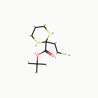 CC(C)(C)OC(=O)C1(CCF)SCCCS1